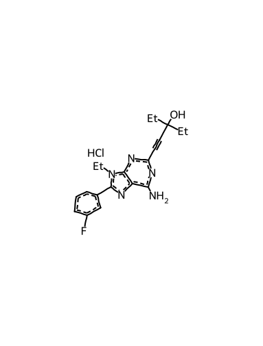 CCn1c(-c2cccc(F)c2)nc2c(N)nc(C#CC(O)(CC)CC)nc21.Cl